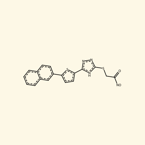 O=NC(=O)CSc1nnc(-c2ccc(-c3ccc4ccccc4c3)s2)[nH]1